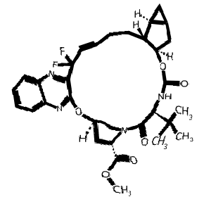 COC(=O)[C@@H]1C[C@@H]2CN1C(=O)[C@H](C(C)(C)C)NC(=O)O[C@@H]1CC3C[C@@H]3[C@H]1CC/C=C/C(F)(F)c1nc3ccccc3nc1O2